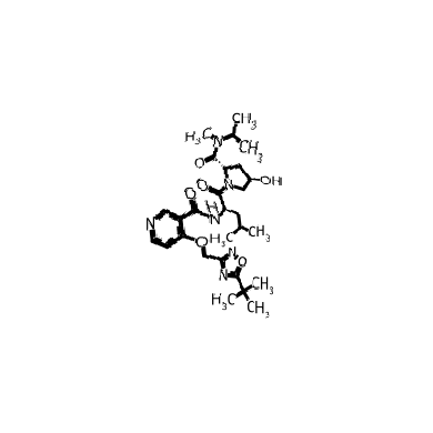 CC(C)C[C@@H](NC(=O)c1cnccc1OCc1noc(C(C)(C)C)n1)C(=O)N1C[C@H](O)C[C@H]1C(=O)N(C)C(C)C